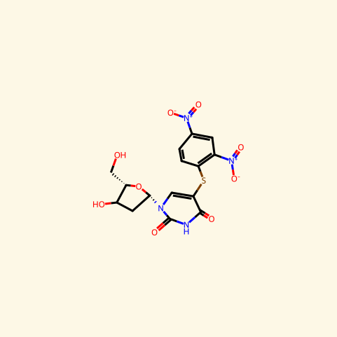 O=c1[nH]c(=O)n([C@@H]2CC(O)[C@H](CO)O2)cc1Sc1ccc([N+](=O)[O-])cc1[N+](=O)[O-]